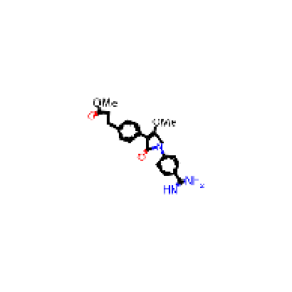 COC(=O)CCc1ccc(C2=C(OC)CN(c3ccc(C(=N)N)cc3)C2=O)cc1